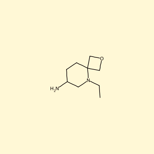 CCN1CC(N)CCC12COC2